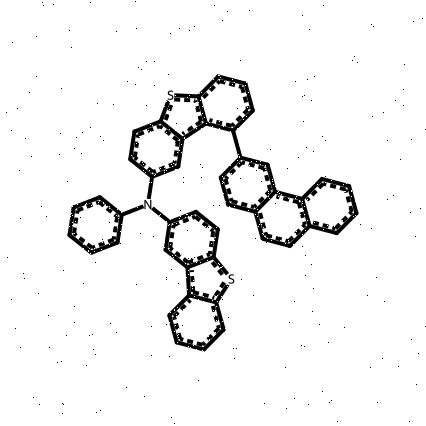 c1ccc(N(c2ccc3sc4ccccc4c3c2)c2ccc3sc4cccc(-c5ccc6ccc7ccccc7c6c5)c4c3c2)cc1